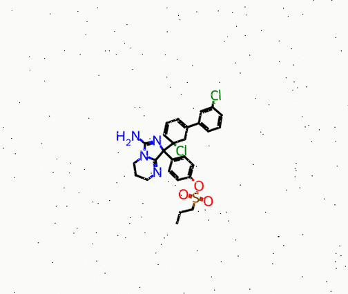 CCCS(=O)(=O)Oc1ccc(C2(C3(Cl)C=CC=C(c4cccc(Cl)c4)C3)N=C(N)N3CCCN=C32)cc1